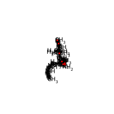 CCCN(CC(=O)C(C)(CCC)N(CC(N)=O)Cc1cn(CCCNC(=O)CCCOc2c(C(C)(C)C)cc(-c3nc4cc(N5CCN(C)CC5)ccc4[nH]3)cc2C(C)(C)C)nn1)C(C)(CC)C(=O)CCCOc1cccc(-c2nc3ccc(-c4nc5ccc(N6CCN(C)CC6)cc5[nH]4)cc3[nH]2)c1